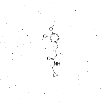 COc1ccc(C[CH]CC(=O)NCC2CC2)cc1OC